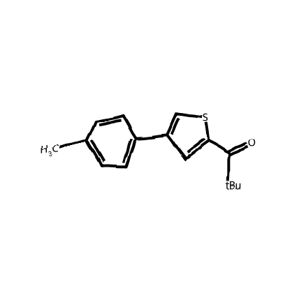 Cc1ccc(-c2csc(C(=O)C(C)(C)C)c2)cc1